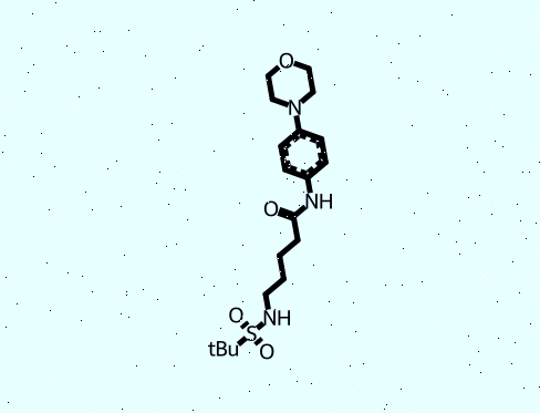 CC(C)(C)S(=O)(=O)NCCCCC(=O)Nc1ccc(N2CCOCC2)cc1